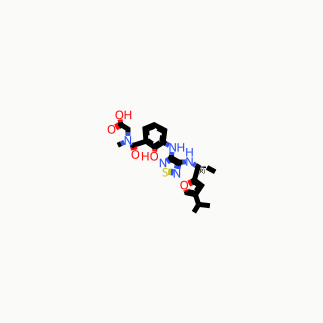 CC[C@@H](Nc1nsnc1Nc1cccc(C(=O)N(C)CC(=O)O)c1O)c1cc(C(C)C)co1